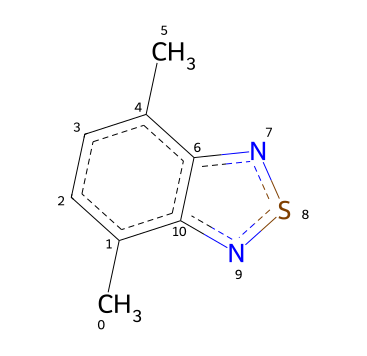 Cc1ccc(C)c2nsnc12